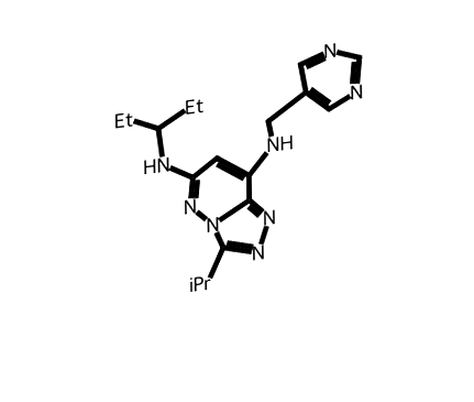 CCC(CC)Nc1cc(NCc2cncnc2)c2nnc(C(C)C)n2n1